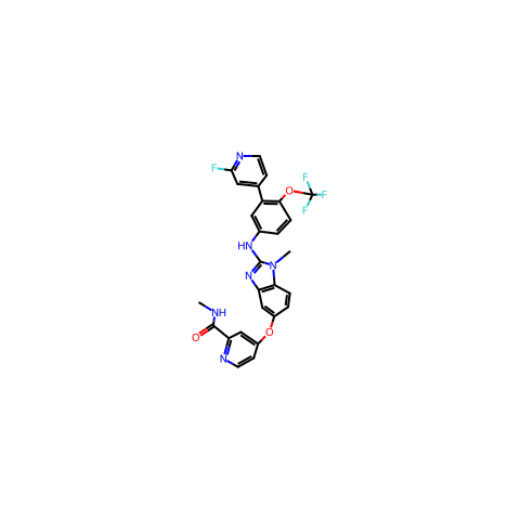 CNC(=O)c1cc(Oc2ccc3c(c2)nc(Nc2ccc(OC(F)(F)F)c(-c4ccnc(F)c4)c2)n3C)ccn1